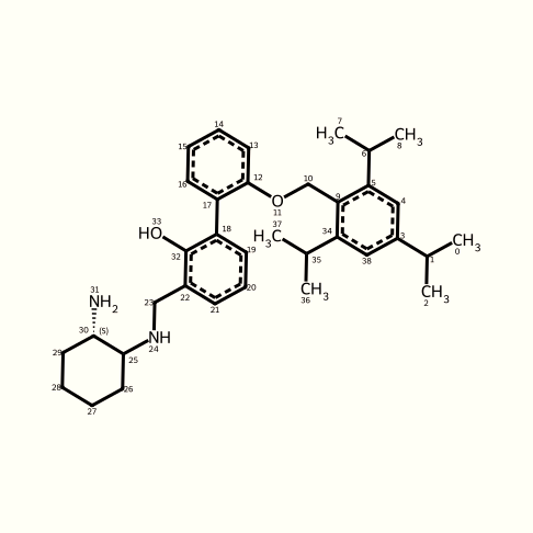 CC(C)c1cc(C(C)C)c(COc2ccccc2-c2cccc(CNC3CCCC[C@@H]3N)c2O)c(C(C)C)c1